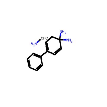 NC1(N)C=CC(c2ccccc2)=CC1.NC=O